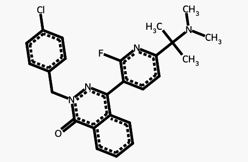 CN(C)C(C)(C)c1ccc(-c2nn(Cc3ccc(Cl)cc3)c(=O)c3ccccc23)c(F)n1